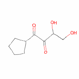 O=C(C(=O)C1CCCC1)C(O)CO